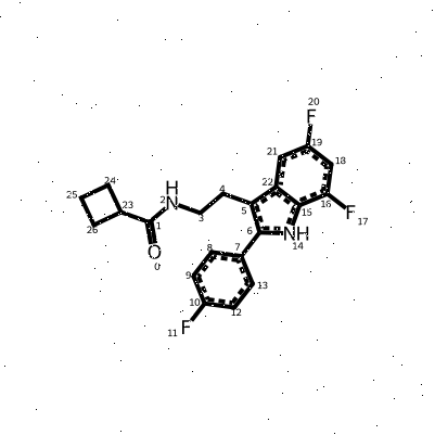 O=C(NCCc1c(-c2ccc(F)cc2)[nH]c2c(F)cc(F)cc12)C1CCC1